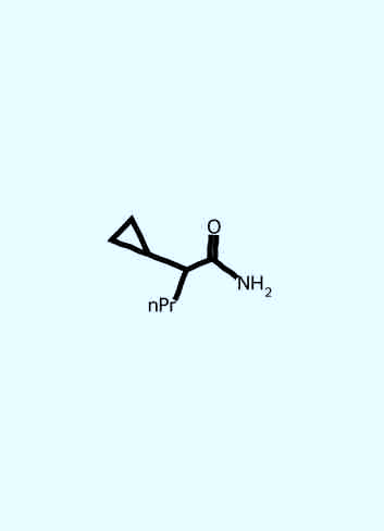 CCCC(C(N)=O)C1CC1